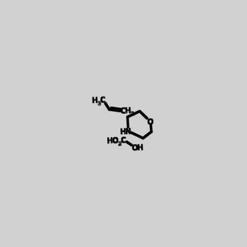 C1COCCN1.C=CC.O=C(O)O